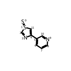 S=S1C=NC(c2cccnc2)=C1